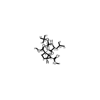 COC(=O)[C@H]1[C@@H]2CC[C@@](NC(=O)[C@H](CC(C)C)NC(=O)OC(C)(C)C)(C(=O)OC)[C@@H]21